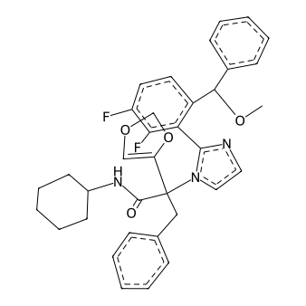 COC(c1ccccc1)c1ccc(F)c(F)c1-c1nccn1C(Cc1ccccc1)(C(=O)NC1CCCCC1)C1=COCO1